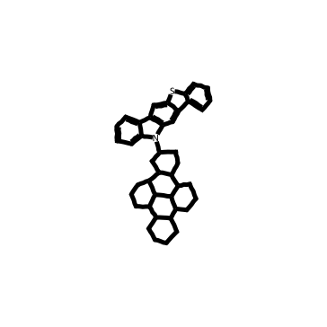 c1ccc2c(c1)sc1cc3c4ccccc4n(C4CCC5C(C4)C4CCCC6C7CCCCC7C7CCCC5C7C64)c3cc12